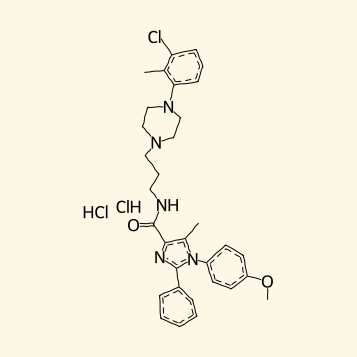 COc1ccc(-n2c(-c3ccccc3)nc(C(=O)NCCCN3CCN(c4cccc(Cl)c4C)CC3)c2C)cc1.Cl.Cl